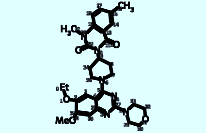 CCOc1cc2c(N3CCC(n4c(=O)c5cc(C)ccc5n(C)c4=O)CC3)nc(N3CCOCC3)nc2cc1OC